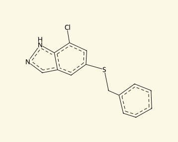 Clc1cc(SCc2ccccc2)cc2cn[nH]c12